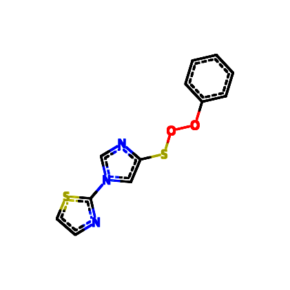 c1ccc(OOSc2cn(-c3nccs3)cn2)cc1